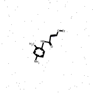 CCO/C=C/C(=O)Nc1ccc(N)cc1C